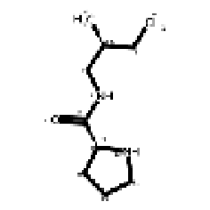 CC[C@H](C)CNC(=O)[C@@H]1CCCN1